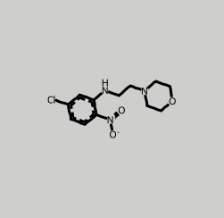 O=[N+]([O-])c1ccc(Cl)cc1NCCN1CCOCC1